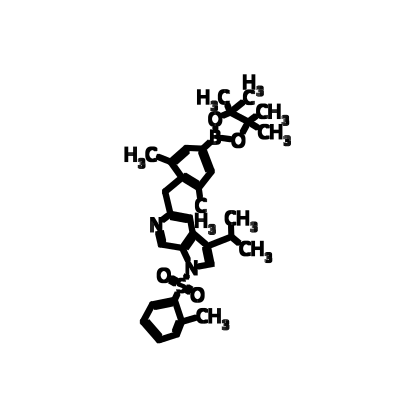 Cc1ccccc1S(=O)(=O)n1cc(C(C)C)c2cc(Cc3c(C)cc(B4OC(C)(C)C(C)(C)O4)cc3C)ncc21